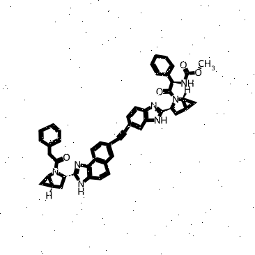 COC(=O)N[C@@H](C(=O)N1[C@@H]2CC2C[C@H]1c1nc2ccc(C#Cc3ccc4c(ccc5[nH]c([C@@H]6C[C@H]7CC7N6C(=O)Cc6ccccc6)nc54)c3)cc2[nH]1)C1=CCCC=C1